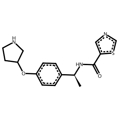 C[C@H](NC(=O)c1cncs1)c1ccc(OC2CCNC2)cc1